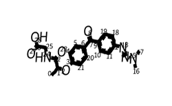 CC(Oc1ccc(C(=O)c2ccc(N=NN(C)C)cc2)cc1)C(=O)NCC(=O)O